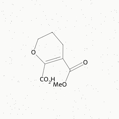 COC(=O)C1=C(C(=O)O)OCCC1